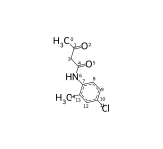 CC(=O)CC(=O)Nc1ccc(Cl)cc1C